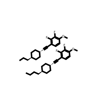 CCCC[C@H]1CC[C@H](C#Cc2ccc(OC)c(F)c2F)CC1.CCC[C@H]1CC[C@H](C#Cc2ccc(OC)c(F)c2F)CC1